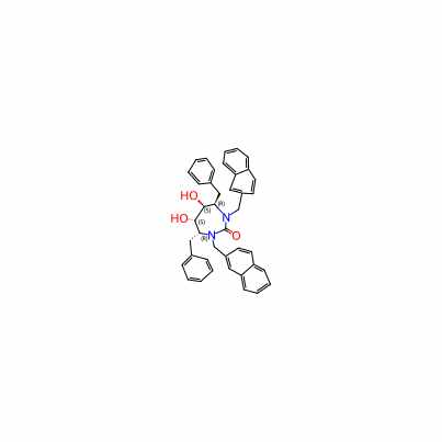 O=C1N(Cc2ccc3ccccc3c2)[C@H](Cc2ccccc2)[C@H](O)[C@@H](O)[C@@H](Cc2ccccc2)N1Cc1ccc2ccccc2c1